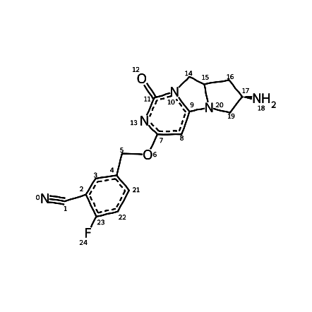 N#Cc1cc(COc2cc3n(c(=O)n2)CC2C[C@@H](N)CN32)ccc1F